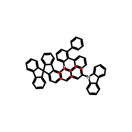 c1ccc(-c2ccccc2-c2c(-c3ccccc3)cccc2N(c2ccc(-n3c4ccccc4c4ccccc43)cc2)c2cccc3c2-c2ccccc2C32c3ccccc3-c3ccccc32)cc1